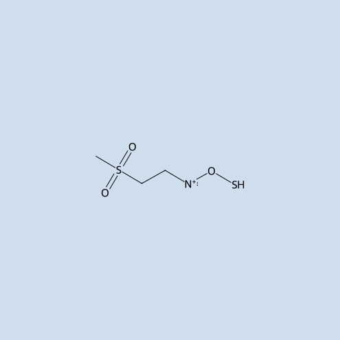 CS(=O)(=O)CC[N+]OS